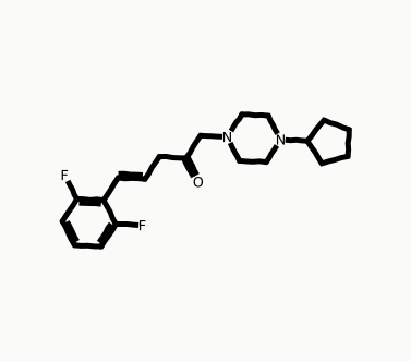 O=C(CC=Cc1c(F)cccc1F)CN1CCN(C2CCCC2)CC1